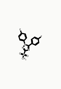 CS(=O)(=O)c1nc(-c2ccc(F)cc2)n(-c2ccc(F)cc2)n1